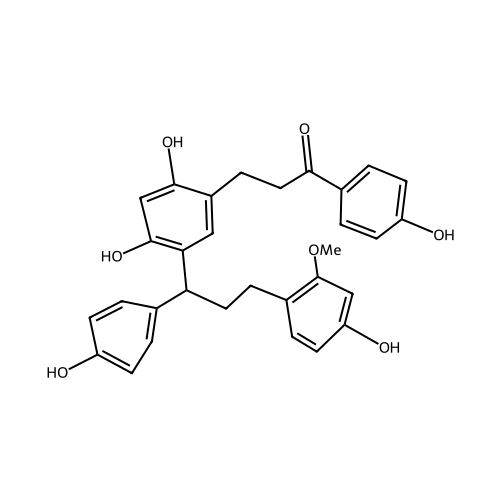 COc1cc(O)ccc1CCC(c1ccc(O)cc1)c1cc(CCC(=O)c2ccc(O)cc2)c(O)cc1O